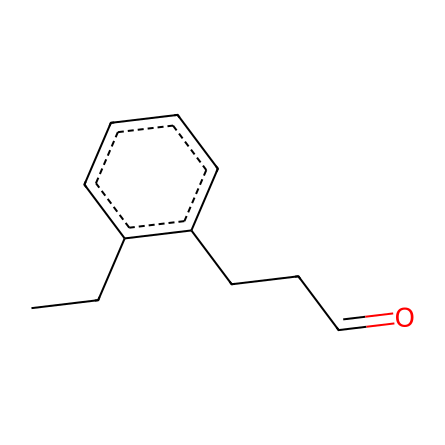 CCc1ccccc1CCC=O